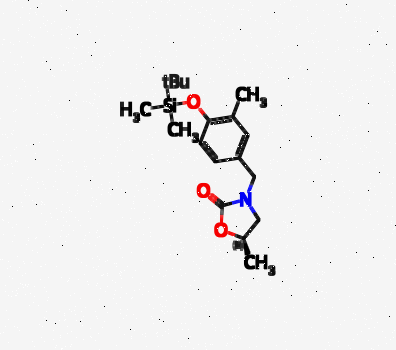 Cc1cc(CN2C[C@@H](C)OC2=O)ccc1O[Si](C)(C)C(C)(C)C